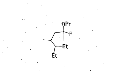 CCCC(C)(F)CC(C)C(CC)CC